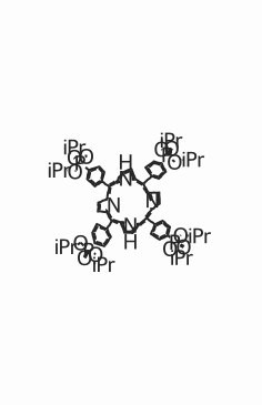 CC(C)OP(=O)(OC(C)C)c1ccc(-c2c3nc(c(-c4ccc(P(=O)(OC(C)C)OC(C)C)cc4)c4ccc([nH]4)c(-c4ccc(P(=O)(OC(C)C)OC(C)C)cc4)c4nc(c(-c5ccc(P(=O)(OC(C)C)OC(C)C)cc5)c5ccc2[nH]5)C=C4)C=C3)cc1